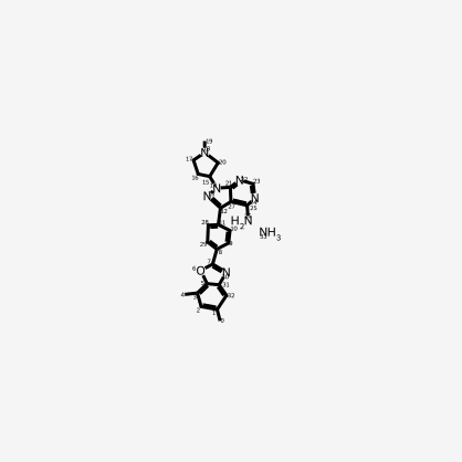 Cc1cc(C)c2oc(-c3ccc(-c4nn(C5CCN(C)C5)c5ncnc(N)c45)cc3)nc2c1.N